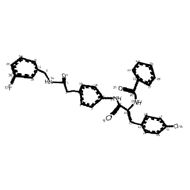 O=C(Cc1ccc(NC(=O)/C(=C/c2ccc(Cl)cc2)NC(=O)c2ccccc2)cc1)NCc1cccc(F)c1